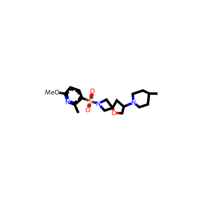 COc1ccc(S(=O)(=O)N2CC3(CC(N4CCC(C)CC4)CO3)C2)c(C)n1